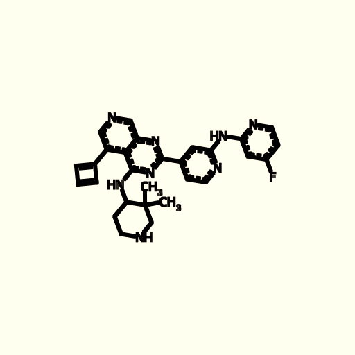 CC1(C)CNCCC1Nc1nc(-c2ccnc(Nc3cc(F)ccn3)c2)nc2cncc(C3=CC=C3)c12